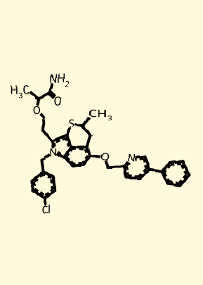 CC1Cc2c(OCc3ccc(-c4ccccc4)cn3)ccc3c2c(c(CCOC(C)C(N)=O)n3Cc2ccc(Cl)cc2)S1